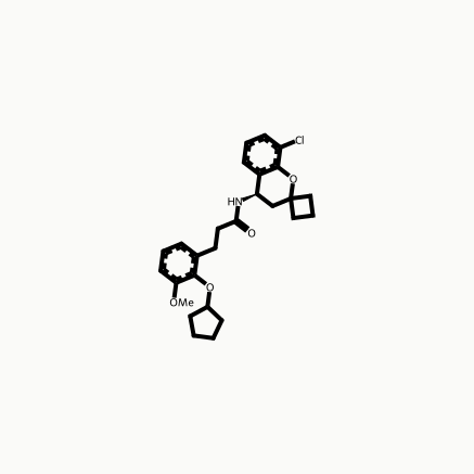 COc1cccc(CCC(=O)N[C@@H]2CC3(CCC3)Oc3c(Cl)cccc32)c1OC1CCCC1